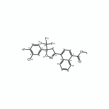 COC(=O)c1ccc(C2=NOC(c3ccc(F)c(Cl)c3)(C(F)(F)F)C2)c2ccccc12